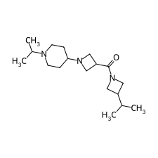 CC(C)C1CN(C(=O)C2CN(C3CCN(C(C)C)CC3)C2)C1